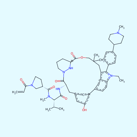 C=CC(=O)N1CC[C@H](C(=O)N(C)[C@H](C(=O)N[C@H]2Cc3cc(O)cc(c3)-c3ccc4c(c3)c(c(-c3ccc(C5CCN(C)CC5)cc3)n4CC)CC(C)(C)COC(=O)[C@@H]3CCCN(N3)C2=O)C(C)C)C1